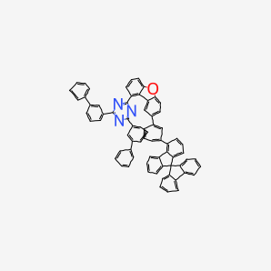 c1ccc(-c2cccc(-c3nc(-c4cccc(-c5ccccc5)c4)nc(-c4cccc5oc6ccc(-c7cccc(-c8cccc9c8-c8ccccc8C98c9ccccc9-c9ccccc98)c7)cc6c45)n3)c2)cc1